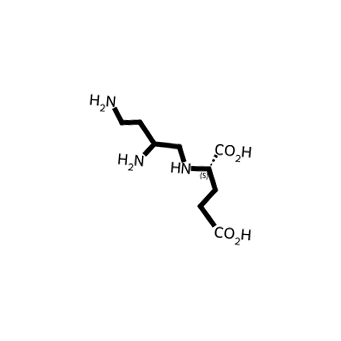 NCCC(N)CN[C@@H](CCC(=O)O)C(=O)O